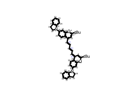 CC(C)(C)C1=C\C(=C/C=C/C=C/c2cc(C(C)(C)C)[o+]c3cc(N4CCc5ccccc54)ccc23)c2ccc(N3CCc4ccccc43)cc2O1